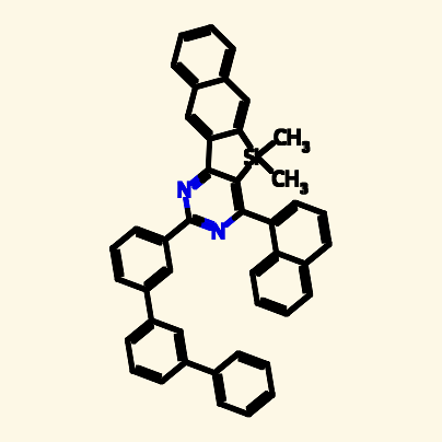 C[Si]1(C)c2cc3ccccc3cc2-c2nc(-c3cccc(-c4cccc(-c5ccccc5)c4)c3)nc(-c3cccc4ccccc34)c21